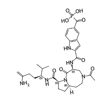 C=C(N)CC[C@H](NC(=O)[C@@H]1CC[C@@H]2CCN(C(C)=O)C[C@H](NC(=O)c3cc4cc(C(=O)P(=O)(O)O)ccc4[nH]3)C(=O)N21)C(C)C